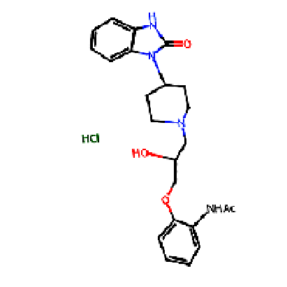 CC(=O)Nc1ccccc1OCC(O)CN1CCC(n2c(=O)[nH]c3ccccc32)CC1.Cl